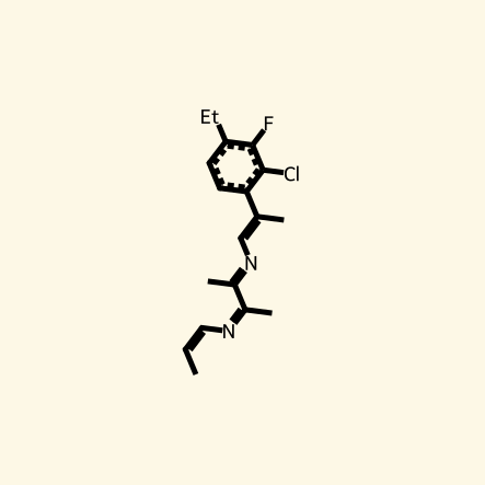 C\C=C/N=C(C)\C(C)=N\C=C(/C)c1ccc(CC)c(F)c1Cl